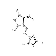 CC=C1C(=O)OC(=O)C1=CCc1cc(C)oc1C